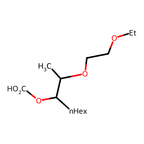 CCCCCCC(OC(=O)O)C(C)OCCOCC